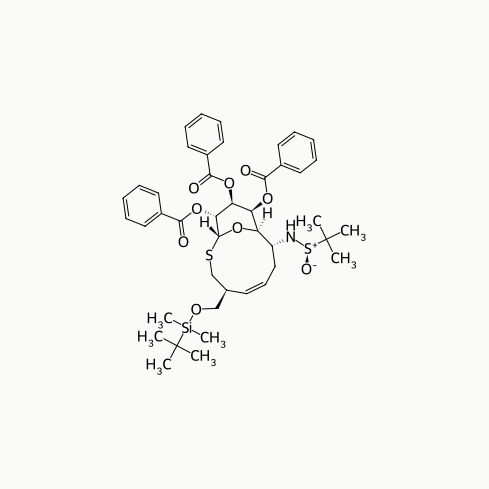 CC(C)(C)[S@@+]([O-])N[C@@H]1C/C=C\[C@@H](CO[Si](C)(C)C(C)(C)C)CS[C@H]2O[C@H]1[C@H](OC(=O)c1ccccc1)[C@H](OC(=O)c1ccccc1)[C@H]2OC(=O)c1ccccc1